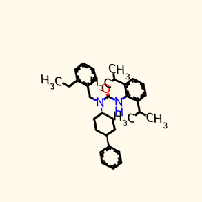 CCc1ccccc1CN(C(=O)Nc1c(C(C)C)cccc1C(C)C)[C@H]1CC[C@H](c2ccccc2)CC1